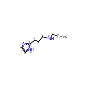 CCCCCCCNCCCc1ncc[nH]1